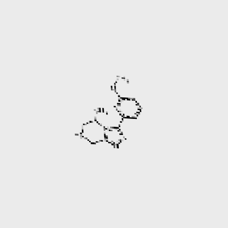 COc1cccc(-c2nnc3n2C(C)CNC3)n1